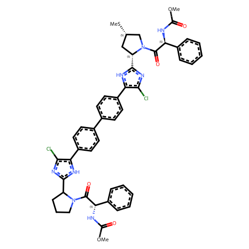 COC(=O)N[C@H](C(=O)N1CCCC1c1nc(Cl)c(-c2ccc(-c3ccc(-c4[nH]c([C@@H]5C[C@H](SC)CN5C(=O)[C@@H](NC(=O)OC)c5ccccc5)nc4Cl)cc3)cc2)[nH]1)c1ccccc1